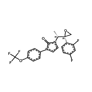 C[C@@H](n1ccn(-c2ccc(OC(F)(F)F)cc2)c1=O)[C@]1(c2ccc(F)cc2F)CO1